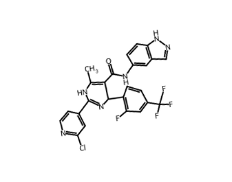 CC1=C(C(=O)Nc2ccc3[nH]ncc3c2)C(c2ccc(C(F)(F)F)cc2F)N=C(c2ccnc(Cl)c2)N1